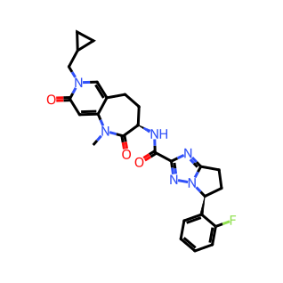 CN1C(=O)[C@H](NC(=O)c2nc3n(n2)[C@H](c2ccccc2F)CC3)CCc2cn(CC3CC3)c(=O)cc21